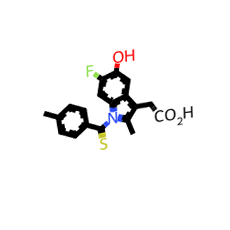 Cc1ccc(C(=S)n2c(C)c(CC(=O)O)c3cc(O)c(F)cc32)cc1